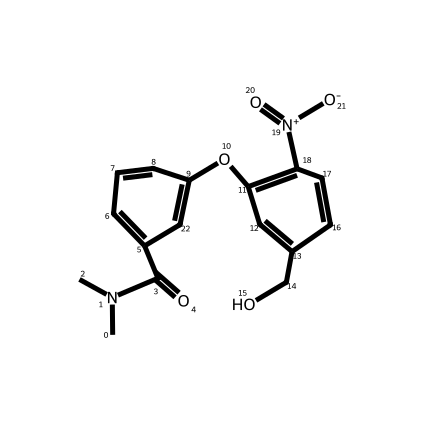 CN(C)C(=O)c1cccc(Oc2cc(CO)ccc2[N+](=O)[O-])c1